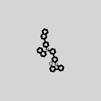 c1cc(-c2ccc3c(c2)Oc2cccc4c5ccccc5n-3c24)cc(N(c2ccc(-c3ccc4ccccc4c3)cc2)c2cccc3ccccc23)c1